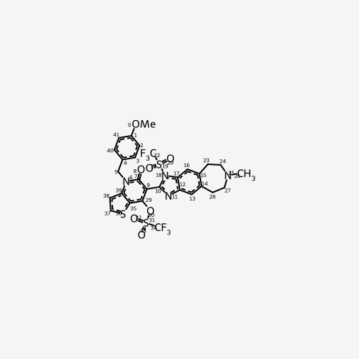 COc1ccc(Cn2c(=O)c(-c3nc4cc5c(cc4n3S(=O)(=O)C(F)(F)F)CCN(C)CC5)c(OS(=O)(=O)C(F)(F)F)c3sccc32)cc1